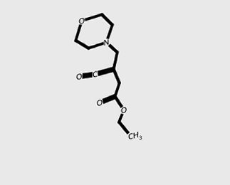 CCOC(=O)CC(=C=O)CN1CCOCC1